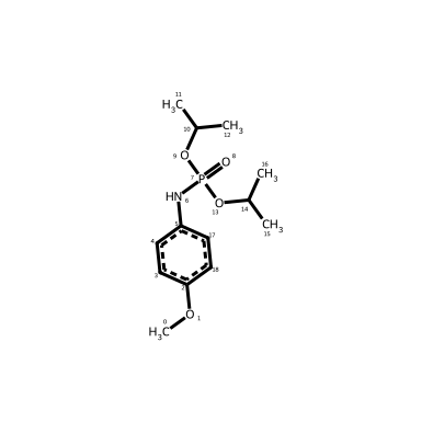 COc1ccc(NP(=O)(OC(C)C)OC(C)C)cc1